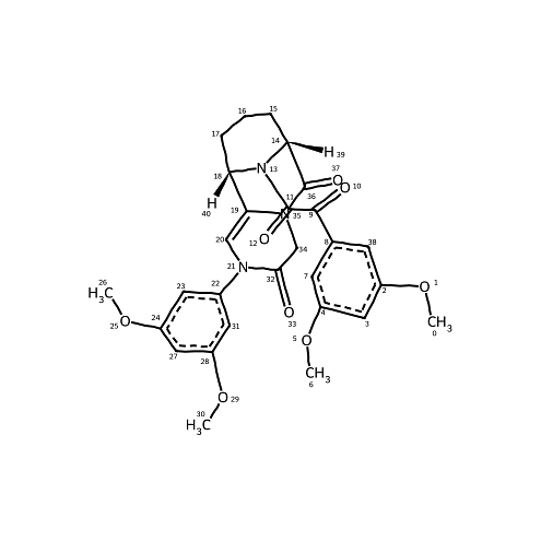 COc1cc(OC)cc(C(=O)C(=O)N2[C@@H]3CCC[C@H]2C2=CN(c4cc(OC)cc(OC)c4)C(=O)CN2C3=O)c1